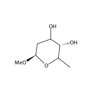 CO[C@H]1CC(O)[C@H](O)C(C)O1